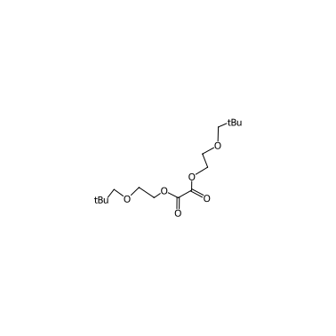 CC(C)(C)COCCOC(=O)C(=O)OCCOCC(C)(C)C